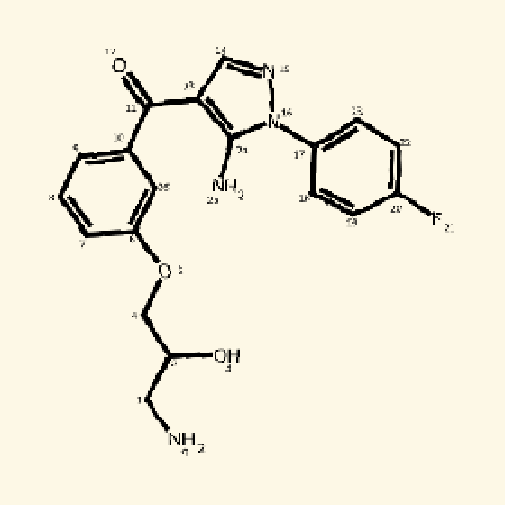 NCC(O)COc1cccc(C(=O)c2cnn(-c3ccc(F)cc3)c2N)c1